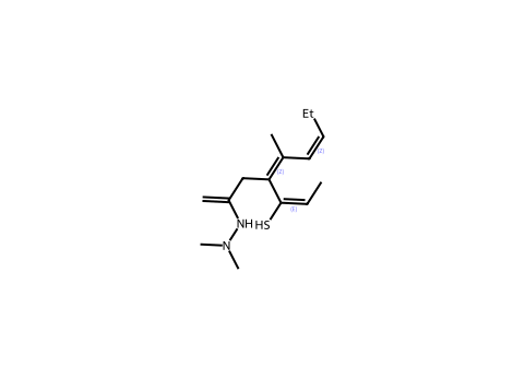 C=C(CC(=C(C)/C=C\CC)/C(S)=C\C)NN(C)C